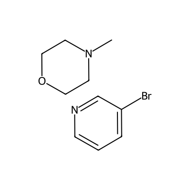 Brc1cccnc1.CN1CCOCC1